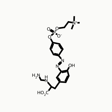 C[N+](C)(C)CCOP(=O)([O-])Oc1ccc(/N=N/c2cc(CC(NCN)C(=O)O)ccc2O)cc1